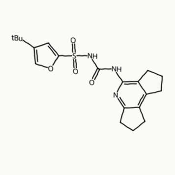 CC(C)(C)c1coc(S(=O)(=O)NC(=O)Nc2nc3c(c4c2CCC4)CCC3)c1